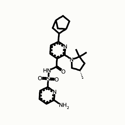 C[C@@H]1CN(c2nc(C3CC4CCC3C4)ccc2C(=O)NS(=O)(=O)c2cccc(N)n2)C(C)(C)C1